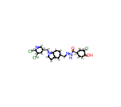 O=C(N/N=C/c1ccc2c(ccn2Cc2cnc(Cl)c(Cl)c2)c1)c1ccc(O)c(Cl)c1